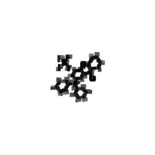 F[B-](F)(F)F.O=c1c2ccccc2oc2ccc([S+](c3ccccc3)c3ccccc3)cc12